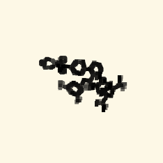 O=C(Cn1nc(C(F)F)cc1C(F)F)NC(Cc1cc(F)cc(F)c1)c1ncccc1-c1ccc(S(=O)(=O)N2CCOCC2)cc1